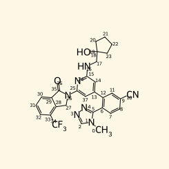 Cn1cnnc1-c1ccc(C#N)cc1-c1cc(NCC2(O)CCCC2)nc(N2Cc3c(cccc3C(F)(F)F)C2=O)c1